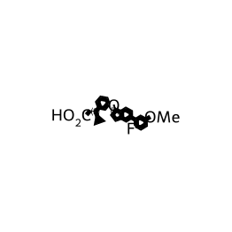 COc1ccc(F)c(-c2ccc3c(c2)CC[C@H]3Oc2cccc([C@@H](CC(=O)O)C3CC3)c2)c1